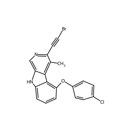 Cc1c(C#CBr)ncc2[nH]c3cccc(Oc4ccc(Cl)cc4)c3c12